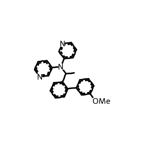 COc1cccc(-c2ccccc2C(C)N(c2cccnc2)c2cccnc2)c1